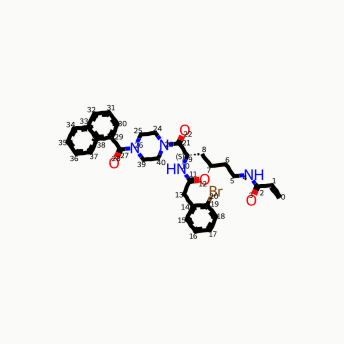 C=CC(=O)NCCCC[C@H](NC(=O)Cc1ccccc1Br)C(=O)N1CCN(C(=O)c2cccc3ccccc23)CC1